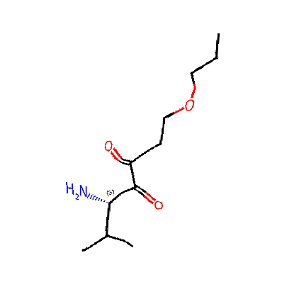 CCCOCCC(=O)C(=O)[C@@H](N)C(C)C